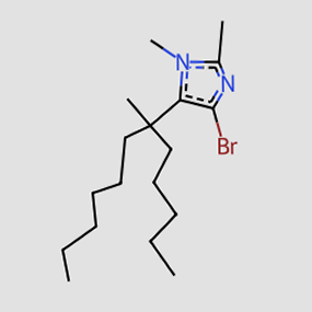 CCCCCCC(C)(CCCCC)c1c(Br)nc(C)n1C